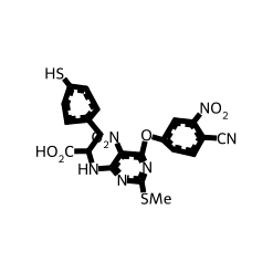 CSc1nc(NC(Cc2ccc(S)cc2)C(=O)O)c([N+](=O)[O-])c(Oc2ccc(C#N)c([N+](=O)[O-])c2)n1